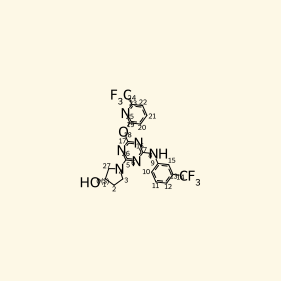 O[C@H]1CCN(c2nc(Nc3cccc(C(F)(F)F)c3)nc(Oc3cccc(C(F)(F)F)n3)n2)C1